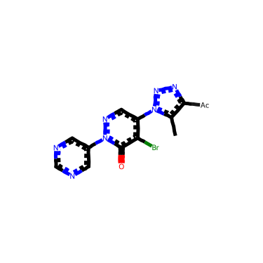 CC(=O)c1nnn(-c2cnn(-c3cncnc3)c(=O)c2Br)c1C